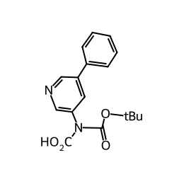 CC(C)(C)OC(=O)N(C(=O)O)c1cncc(-c2ccccc2)c1